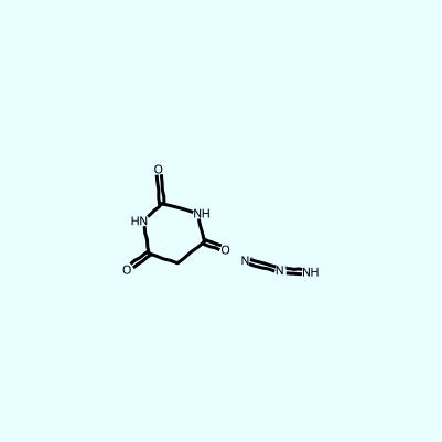 O=C1CC(=O)NC(=O)N1.[N-]=[N+]=N